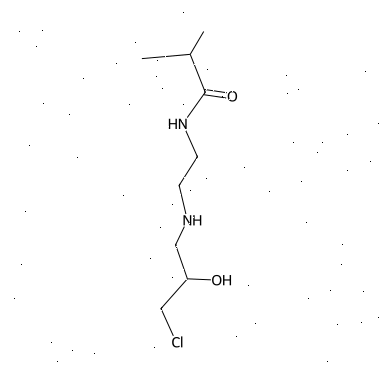 CC(C)C(=O)NCCNCC(O)CCl